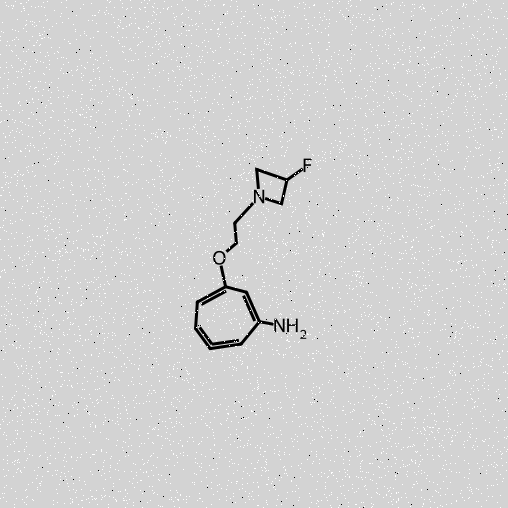 NC1=CC(OCCN2CC(F)C2)=CC=C=C1